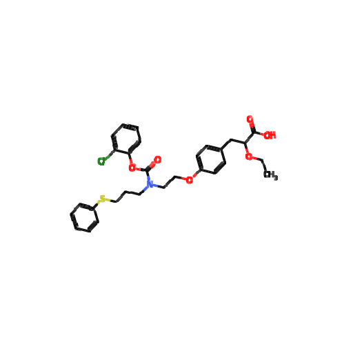 CCOC(Cc1ccc(OCCN(CCCSc2ccccc2)C(=O)Oc2ccccc2Cl)cc1)C(=O)O